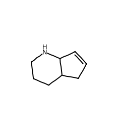 C1=CC2NCCCC2C1